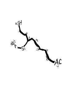 CC(=O)CCCCC(CCS)SC(C)C